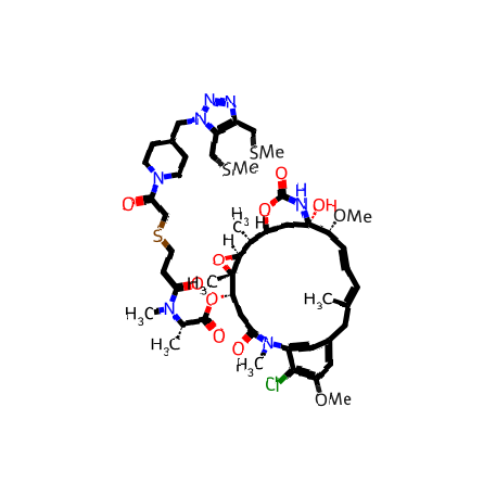 COc1cc2cc(c1Cl)N(C)C(=O)C[C@H](OC(=O)[C@H](C)N(C)C(=O)CCSCC(=O)N1CCC(Cn3nnc(CSC)c3CSC)CC1)[C@]1(C)O[C@H]1[C@H](C)[C@@H]1C[C@@](O)(NC(=O)O1)[C@H](OC)/C=C/C=C(\C)C2